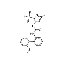 CSc1ccccc1-c1ccccc1NC(=O)Oc1cn(C)nc1C(F)(F)F